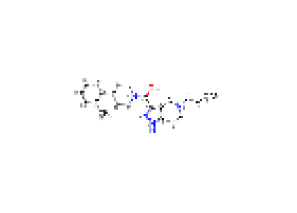 COCCN1CCc2[nH]nc(C(=O)N3CCC(c4ccccc4C(F)(F)F)CC3)c2C1